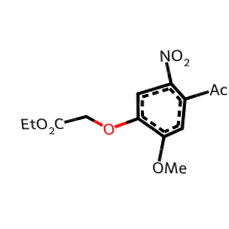 CCOC(=O)COc1cc([N+](=O)[O-])c(C(C)=O)cc1OC